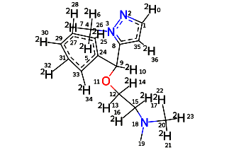 [2H]c1nn(C([2H])([2H])[2H])c(C([2H])(OC([2H])([2H])C([2H])([2H])N(C)C([2H])([2H])[2H])c2c([2H])c([2H])c([2H])c([2H])c2[2H])c1[2H]